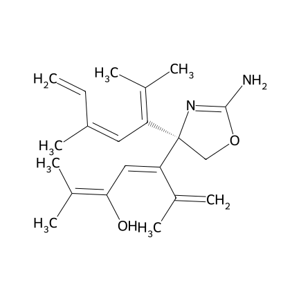 C=C/C(C)=C\C(=C(C)C)[C@@]1(/C(=C/C(O)=C(C)C)C(=C)C)COC(N)=N1